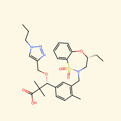 CCCn1cc(CO[C@H](c2ccc(C)c(CN3C[C@@H](CC)Oc4ccccc4S3(=O)=O)c2)C(C)(C)C(=O)O)nn1